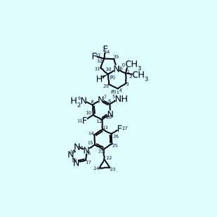 CC1(C)C[C@H](Nc2nc(N)c(F)c(-c3cc(-n4cnnn4)c(C4CC4)cc3F)n2)C[C@@H]2CC(F)(F)CN21